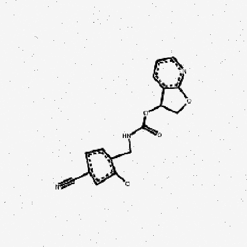 N#Cc1ccc(CNC(=O)OC2COc3ncccc32)c(Cl)c1